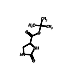 CC(C)(C)OC(=O)C1CNC(=O)N1